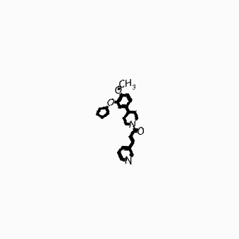 COc1ccc(C2CCN(C(=O)C=Cc3cccnc3)CC2)cc1OC1CCCC1